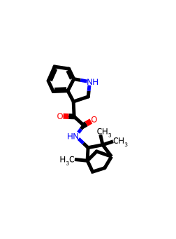 CC12CCC(C1)C(C)(C)C2NC(=O)C(=O)C1CNc2ccccc21